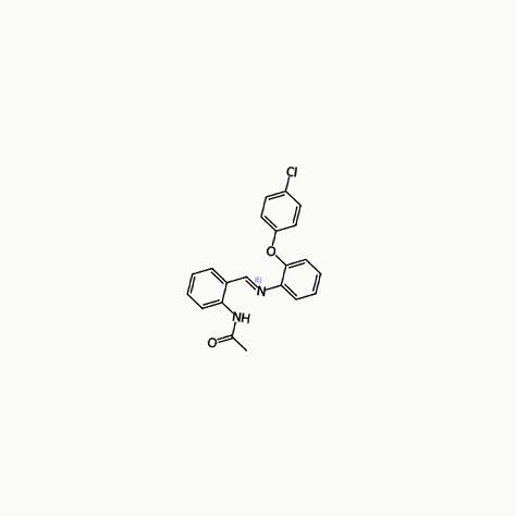 CC(=O)Nc1ccccc1/C=N/c1ccccc1Oc1ccc(Cl)cc1